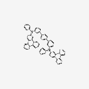 c1ccc(N(c2cccc(-c3ccc(-c4cccc(N(c5ccccc5)c5ccc6c7ccccc7c7ccccc7c6c5)c4)cc3)c2)c2ccc3c4ccccc4c4ccccc4c3c2)cc1